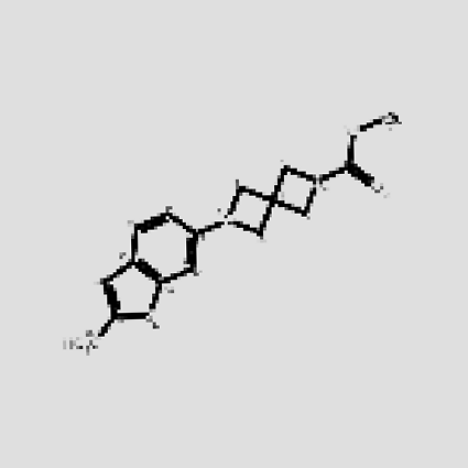 CC(C)(C)OC(=O)N1CC2(C1)CN(c1ccc3cc(C(=O)O)sc3c1)C2